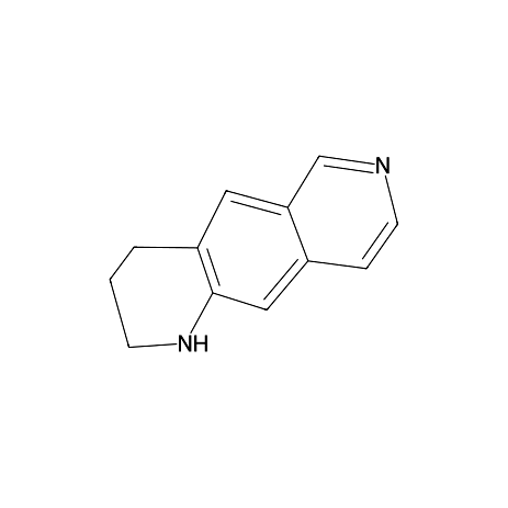 c1cc2cc3c(cc2cn1)CCCN3